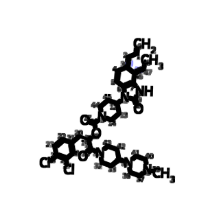 C=C/C=c1/ccc2c([nH]c(=O)n2C2CCN(C(=O)O[C@H](Cc3ccc(Cl)c(Cl)c3)C(=O)N3CCC(N4CCN(C)CC4)CC3)CC2)/c1=C/C